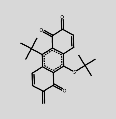 C=C1C=Cc2c(c(SC(C)(C)C)c3c(c2C(C)(C)C)C(=O)C(=O)C=C3)C1=O